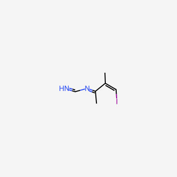 CC(=CI)C(C)=NC=N